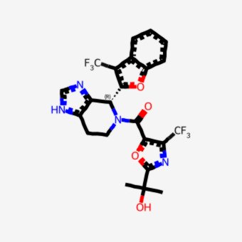 CC(C)(O)c1nc(C(F)(F)F)c(C(=O)N2CCc3[nH]cnc3[C@@H]2c2oc3ccccc3c2C(F)(F)F)o1